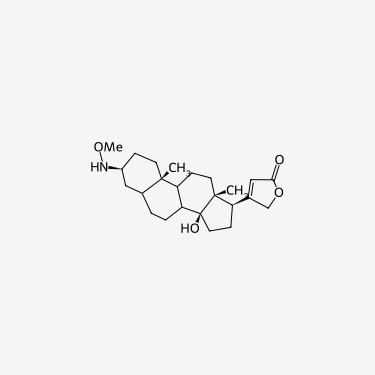 CON[C@H]1CC[C@@]2(C)C(CCC3C2CC[C@]2(C)[C@@H](C4=CC(=O)OC4)CC[C@]32O)C1